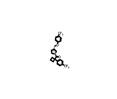 O=C(N1CC[C@H](COc2ccc(C(F)(F)F)cc2)C1)C1(c2ccc(C(F)(F)F)cc2)CCC1